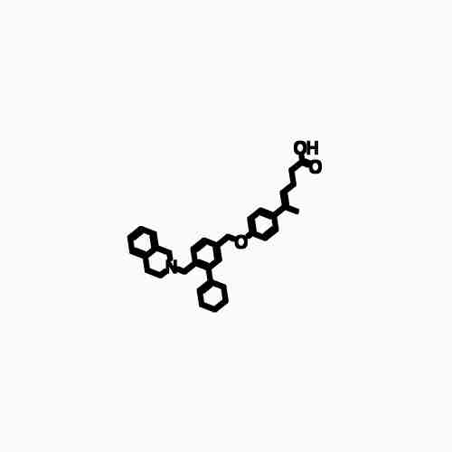 CC(=CCCC(=O)O)c1ccc(OCc2ccc(CN3CCc4ccccc4C3)c(C3=CCCCC3)c2)cc1